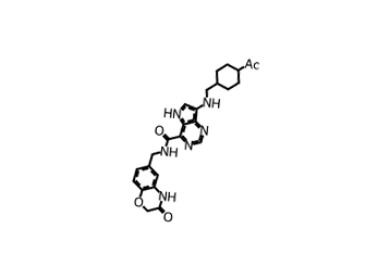 CC(=O)C1CCC(CNc2c[nH]c3c(C(=O)NCc4ccc5c(c4)NC(=O)CO5)ncnc23)CC1